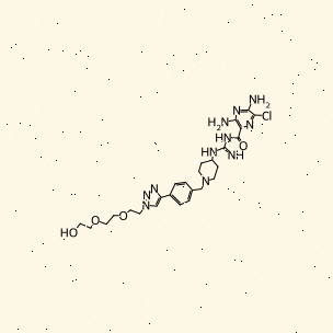 N=C(NC(=O)c1nc(Cl)c(N)nc1N)NC1CCN(Cc2ccc(-c3cn(CCOCCOCCO)nn3)cc2)CC1